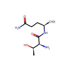 C[C@@H](O)[C@H](N)C(=O)N[C@H]([C]=O)CCC(N)=O